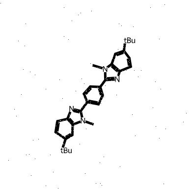 Cn1c(-c2ccc(-c3nc4ccc(C(C)(C)C)cc4n3C)cc2)nc2ccc(C(C)(C)C)cc21